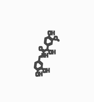 COc1cc(C(O)C(=O)NCc2ccc(O)c(O)c2)ccc1O